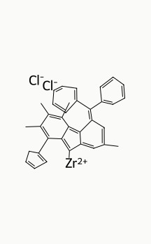 Cc1cc2c(c(=C(c3ccccc3)c3ccccc3)c1)=c1c(C)c(C)c(C)c(C3=CC=CC3)c1=[C]2[Zr+2].[Cl-].[Cl-]